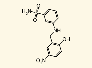 NS(=O)(=O)c1cccc(NCc2cc([N+](=O)[O-])ccc2O)c1